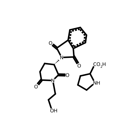 O=C(O)C1CCCN1.O=C1CC[C@H](N2C(=O)c3ccccc3C2=O)C(=O)N1CCO